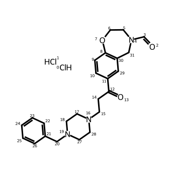 Cl.Cl.O=CN1CCOc2ccc(C(=O)CCN3CCN(Cc4ccccc4)CC3)cc2C1